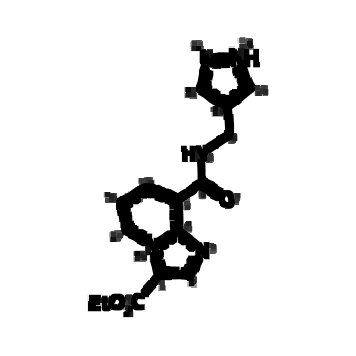 CCOC(=O)c1cnc2c(C(=O)NCc3cn[nH]c3)cccn12